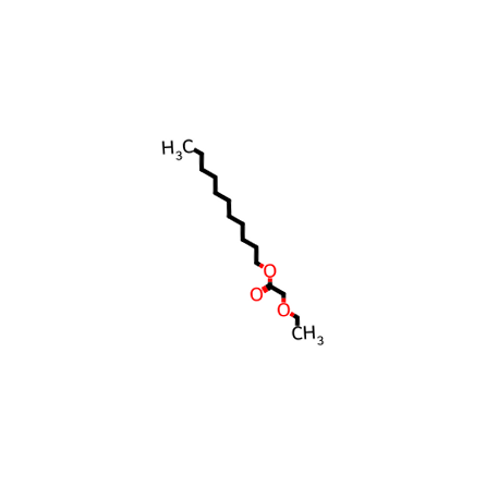 CCCCCCCCCCCOC(=O)COCC